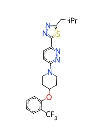 CC(C)Cc1nnc(-c2ccc(N3CCC(Oc4ccccc4C(F)(F)F)CC3)nn2)s1